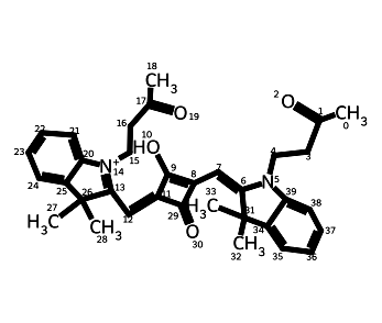 CC(=O)CCN1/C(=C/C2=C(O)C(=C\C3=[N+](CCC(C)=O)c4ccccc4C3(C)C)/C2=O)C(C)(C)c2ccccc21